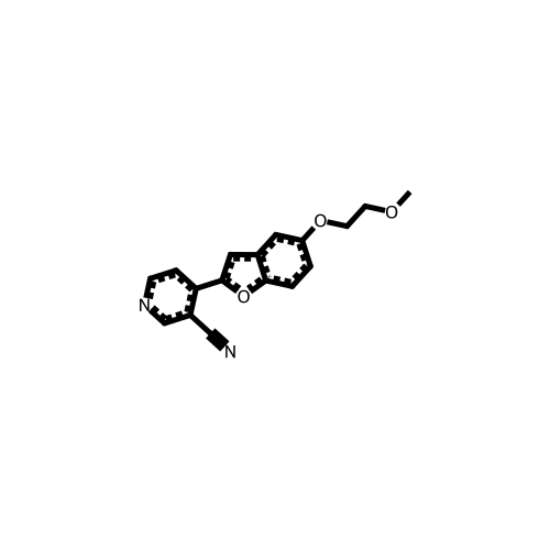 COCCOc1ccc2oc(-c3ccncc3C#N)cc2c1